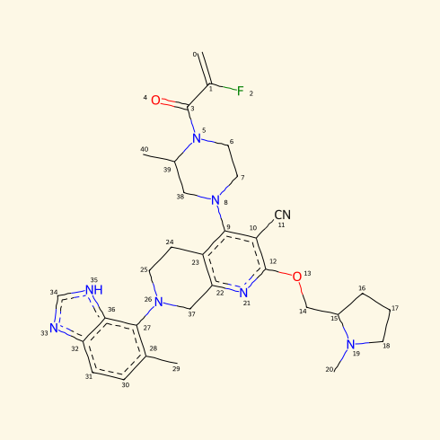 C=C(F)C(=O)N1CCN(c2c(C#N)c(OCC3CCCN3C)nc3c2CCN(c2c(C)ccc4nc[nH]c24)C3)CC1C